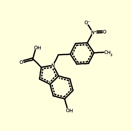 Cc1ccc(Cn2c(C(=O)O)cc3cc(O)ccc32)cc1[N+](=O)[O-]